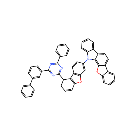 C1=Cc2oc3cc(-n4c5ccccc5c5ccc6c7ccccc7oc6c54)ccc3c2C(c2nc(-c3ccccc3)nc(-c3cccc(-c4ccccc4)c3)n2)C1